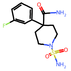 NC(=O)C1(c2cccc(F)c2)CCN(S(N)(=O)=O)CC1